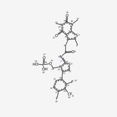 Cc1sc2c(c1CC(=O)/N=c1\scc(-c3ccc(F)c(C(F)(F)F)c3F)n1COP(=O)(O)O)c(=O)n(C)c(=O)n2C